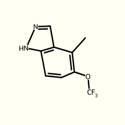 Cc1c(OC(F)(F)F)ccc2[nH]ncc12